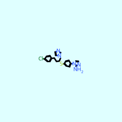 Nc1nccn1-c1ccc(SC(CCc2ccc(Cl)cc2)Cn2ccnc2)cc1